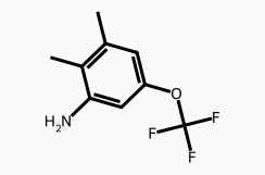 Cc1cc(OC(F)(F)F)cc(N)c1C